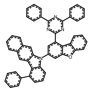 c1ccc(-c2nc(-c3ccccc3)nc(-c3cc(-n4c5cc6ccccc6cc5c5c(-c6ccccc6)cccc54)cc4oc5ccccc5c34)n2)cc1